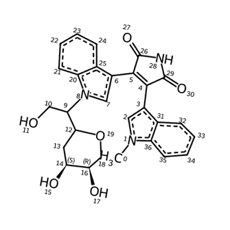 Cn1cc(C2=C(c3cn(C(CO)C4C[C@H](O)[C@H](O)CO4)c4ccccc34)C(=O)NC2=O)c2ccccc21